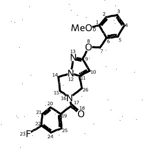 COc1ccccc1COc1cc2n(n1)CCN(C(=O)c1ccc(F)cc1)C2